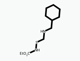 CCOC(=O)NSCNCC1CCCCC1